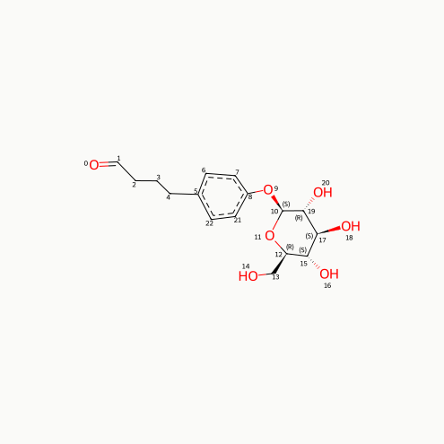 O=CCCCc1ccc(O[C@@H]2O[C@H](CO)[C@@H](O)[C@H](O)[C@H]2O)cc1